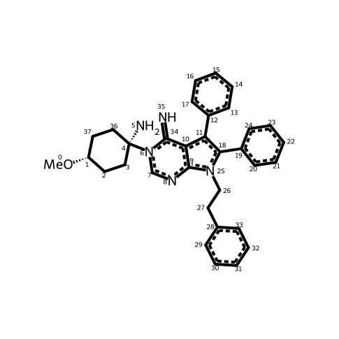 CO[C@H]1CC[C@](N)(n2cnc3c(c(-c4ccccc4)c(-c4ccccc4)n3CCc3ccccc3)c2=N)CC1